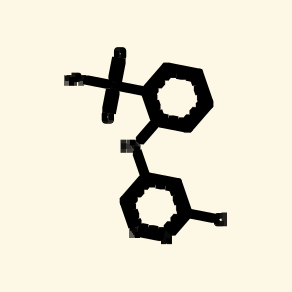 CCCS(=O)(=O)c1ccccc1Nc1cnnc(Cl)c1